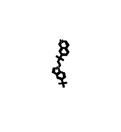 CC(C)(C)c1ccc2c(ccn2CCC(C)(C)c2ccc3ccncc3c2)c1